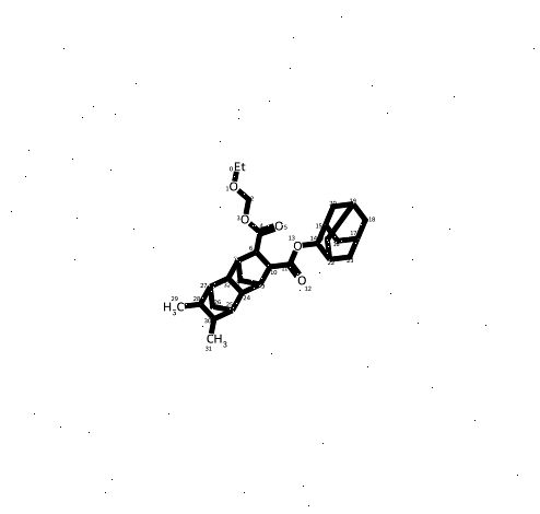 CCOCOC(=O)C1C2CC(C1C(=O)OC1C3CC4CC(C3)CC1C4)C1C3CC(C(C)C3C)C21